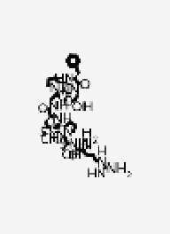 CSCC[C@H](NC(=O)[C@@H]1CCCN1C(=O)[C@H](CO)NC(=O)[C@@H](N)CCCNC(=N)N)C(=O)NCC(=O)N1CCC[C@H]1C(=O)N[C@@H](Cc1ccccc1)C(=O)NCC(=O)O